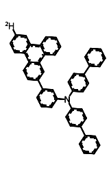 [2H]c1ccc2c3ccc(-c4cccc(N(c5ccc(-c6ccccc6)cc5)c5ccc(-c6ccccc6)cc5)c4)cc3c3ccccc3c2c1